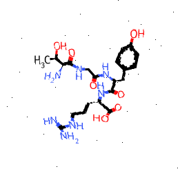 C[C@@H](O)[C@H](N)C(=O)NCC(=O)N[C@@H](Cc1ccc(O)cc1)C(=O)N[C@@H](CCCNC(=N)N)C(=O)O